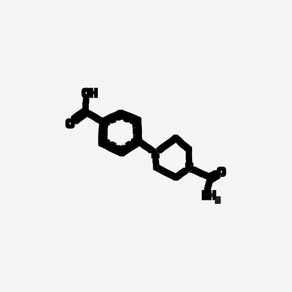 BC(=O)N1CCN(c2ccc(C(=O)O)cc2)CC1